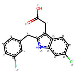 O=C(O)Cc1c(Cc2cccc(F)c2)[nH]c2cc(Cl)ccc12